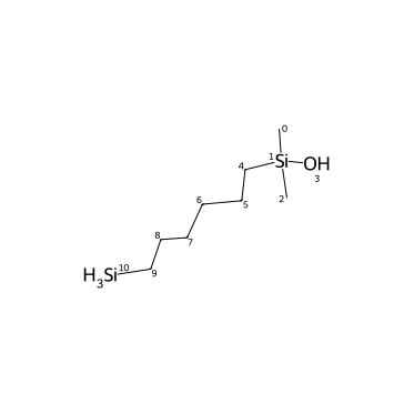 C[Si](C)(O)CCCCCC[SiH3]